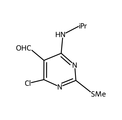 CSc1nc(Cl)c(C=O)c(NC(C)C)n1